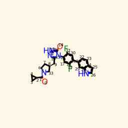 O=C(C1CC1)N1CC[C@@H](Cc2n[nH]c(=O)n2-c2cc(F)c(-c3ccc4cc[nH]c4c3)cc2F)C1